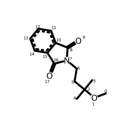 COC(C)(C)CCN1C(=O)c2ccccc2C1=O